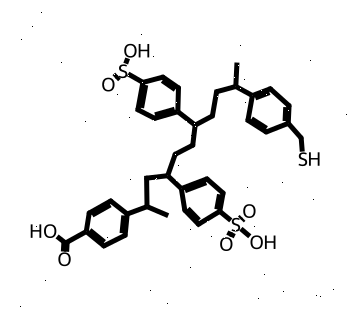 CC(CCC(CCC(CC(C)c1ccc(C(=O)O)cc1)c1ccc(S(=O)(=O)O)cc1)c1ccc(S(=O)O)cc1)c1ccc(CS)cc1